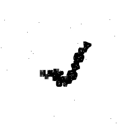 Cc1nc(N)sc1C(=O)NC(C)Cc1ccc(C2CN(c3ccc(OCC4CC4)cc3)C2)cc1